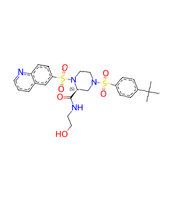 CC(C)(C)c1ccc(S(=O)(=O)N2CCN(S(=O)(=O)c3ccc4ncccc4c3)[C@H](C(=O)NCCO)C2)cc1